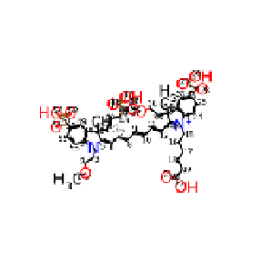 COCCN1/C(=C/C=C/C=C/C=C/C2=[N+](CCCCCC(=O)O)c3ccc(S(=O)(=O)O)cc3C2(C)CCOC)C(C)(CCCS(=O)(=O)O)c2cc(S(=O)(=O)O)ccc21